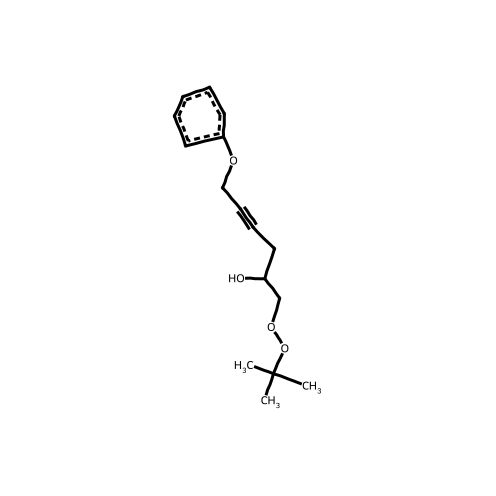 CC(C)(C)OOCC(O)CC#CCOc1ccccc1